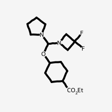 CCOC(=O)C1CCC(OC(N2CCCC2)N2CC(F)(F)C2)CC1